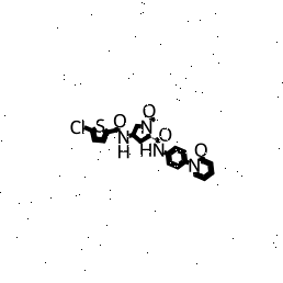 O=CN1CC(NC(=O)c2ccc(Cl)s2)C[C@H]1C(=O)Nc1ccc(-n2ccccc2=O)cc1